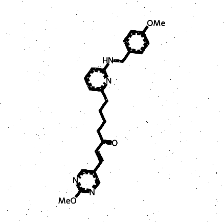 COc1ccc(CNc2cccc(CCCCC(=O)C=Cc3cnc(OC)nc3)n2)cc1